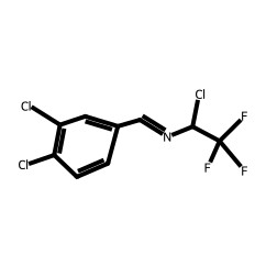 FC(F)(F)C(Cl)/N=C/c1ccc(Cl)c(Cl)c1